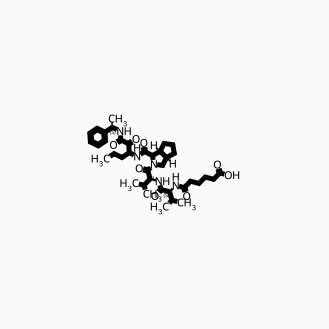 CCCC(NC(=O)C1[C@H]2CCC[C@H]2CN1C(=O)[C@@H](NC(=O)[C@@H](NC(=O)CCCCC(=O)O)C(C)C)C(C)C)C(=O)C(=O)N[C@@H](C)c1ccccc1